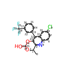 CC(C)c1nc2ccc(Cl)cc2c(-c2cccc(C(F)(F)F)c2)c1OC(=O)O